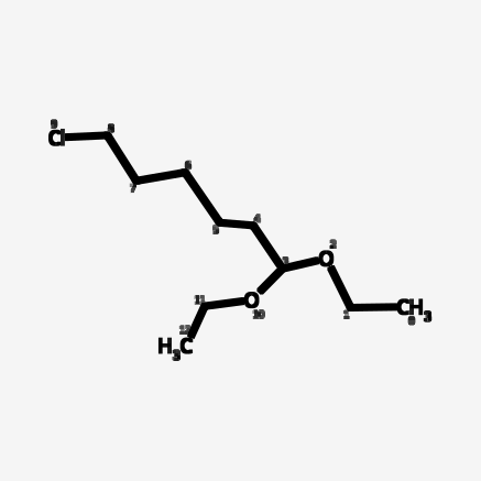 CCOC(CCCCCCl)OCC